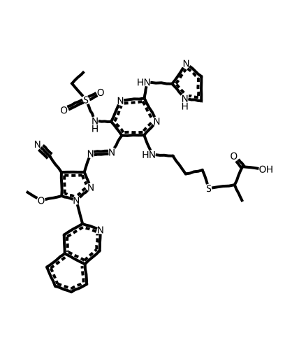 CCS(=O)(=O)Nc1nc(Nc2ncc[nH]2)nc(NCCCSC(C)C(=O)O)c1N=Nc1nn(-c2cc3ccccc3cn2)c(OC)c1C#N